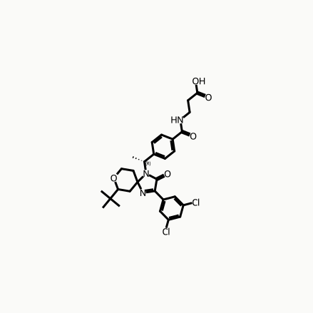 C[C@H](c1ccc(C(=O)NCCC(=O)O)cc1)N1C(=O)C(c2cc(Cl)cc(Cl)c2)=NC12CCOC(C(C)(C)C)C2